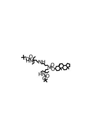 CCC(CC)(CCNCCCCN(CCC(CC)(CC)NC(=O)OC(C)(C)C)C(=O)OC1CCC2(C)C(=CCC3C4CCCC4(C)CCC32)C1)NC(=O)OCC(C)(C)C